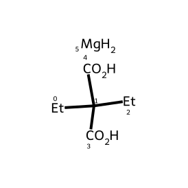 CCC(CC)(C(=O)O)C(=O)O.[MgH2]